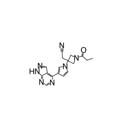 CCC(=O)N1CC(CC#N)(n2ccc(-c3ncnc4[nH]ncc34)c2)C1